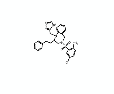 Cc1ccc(Cl)cc1S(=O)(=O)N1Cc2ccccc2N(Cc2cnc[nH]2)C(CCc2ccccc2)C1